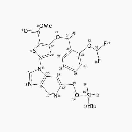 COC(=O)c1sc(-n2cnc3cnc(CO[Si](C)(C)C(C)(C)C)cc32)cc1OC(C)c1ccccc1OC(F)F